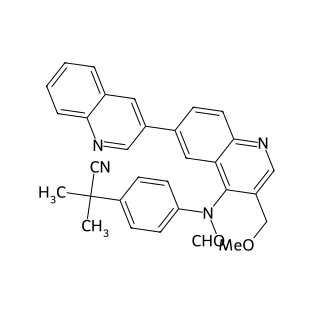 COCc1cnc2ccc(-c3cnc4ccccc4c3)cc2c1N(C=O)c1ccc(C(C)(C)C#N)cc1